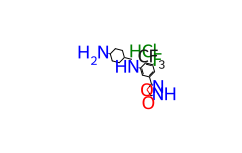 Cl.NC1CCC(CNc2cc(-c3n[nH]c(=O)o3)cc(F)c2C(F)(F)F)CC1